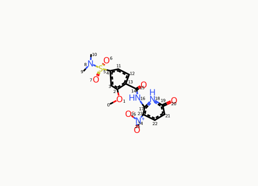 COc1cc(S(=O)(=O)N(C)C)ccc1C(=O)Nc1[nH]c(=O)ccc1[N+](=O)[O-]